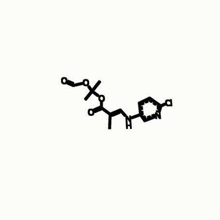 C/C(=C\Nc1ccc(Cl)nc1)C(=O)OC(C)(C)OC=O